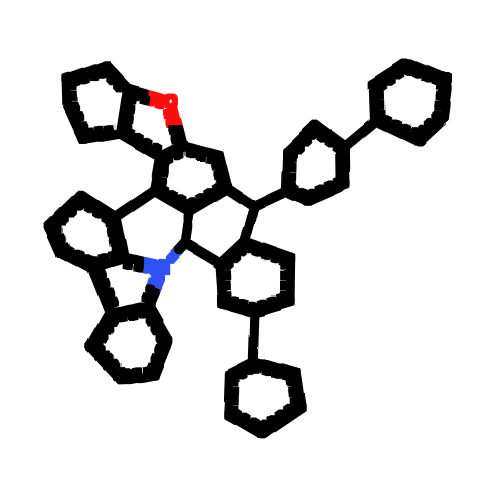 c1ccc(-c2ccc(C3c4ccc(-c5ccccc5)cc4C4c5c3cc3oc6ccccc6c3c5-c3cccc5c6ccccc6n4c35)cc2)cc1